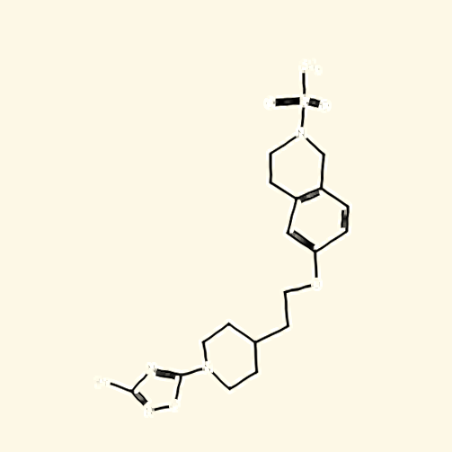 CC(C)c1noc(N2CCC(CCOc3ccc4c(c3)CCN(S(C)(=O)=O)C4)CC2)n1